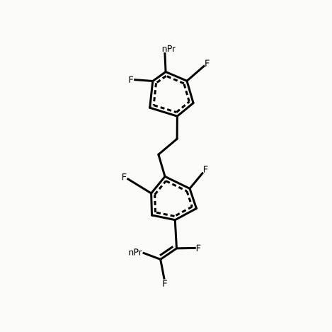 CCC/C(F)=C(/F)c1cc(F)c(CCc2cc(F)c(CCC)c(F)c2)c(F)c1